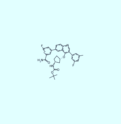 Cc1cc(F)cc(-c2cnc3ccc(-c4cc(F)cc(C(N)=O)c4)cc3c2O[C@H]2CC[C@H](NC(=O)OC(C)(C)C)C2)c1